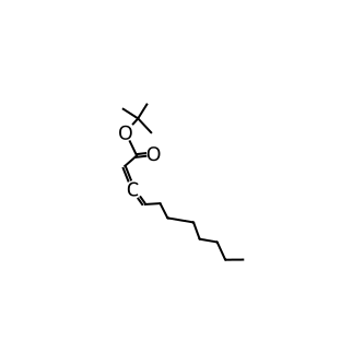 CCCCCCCC=C=CC(=O)OC(C)(C)C